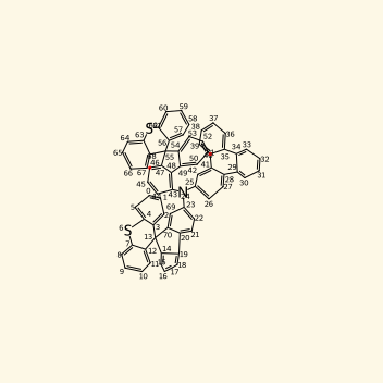 c1ccc2c(c1)Sc1ccccc1C21c2ccccc2-c2ccc(N(c3ccc4c5ccccc5c5ccccc5c4c3)c3cccc4c3-c3ccccc3C43c4ccccc4Sc4ccccc43)cc21